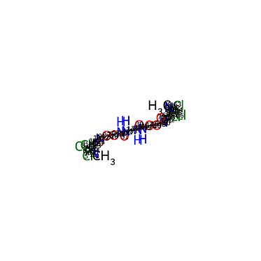 CN1Cc2c(Cl)cc(Cl)cc2C(c2cc3c(cc2Cl)CN(CCOCCOCCNC(=O)NCCCCNC(=O)NCCOCCOCCN2Cc4cc(Cl)c(C5CN(C)Cc6c(Cl)cc(Cl)cc65)cc4[S+]2[O-])S3)C1